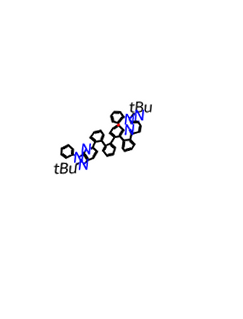 CC(C)(C)c1nc2ccc(-c3ccccc3-c3ccccc3-c3ccccc3-c3ccccc3-c3ccc4nc(C(C)(C)C)n(-c5ccccc5)c4n3)nc2n1-c1ccccc1